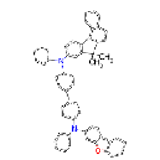 CC1(C)c2cc(N(c3ccccc3)c3ccc(-c4ccc(N(c5ccccc5)c5ccc6c(c5)oc5ccccc56)cc4)cc3)ccc2-c2c1ccc1ccccc21